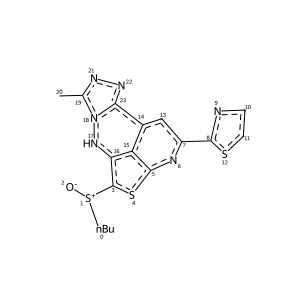 CCCC[S+]([O-])c1sc2nc(-c3nccs3)cc3c2c1[nH]n1c(C)nnc31